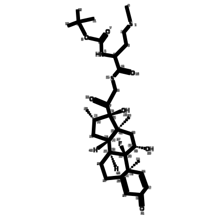 CSCCC(NC(=O)OC(C)(C)C)C(=O)SCC(=O)[C@@]1(O)[C@@H](C)C[C@H]2[C@@H]3CCC4=CC(=O)C=C[C@]4(C)[C@@]3(F)[C@@H](O)C[C@@]21C